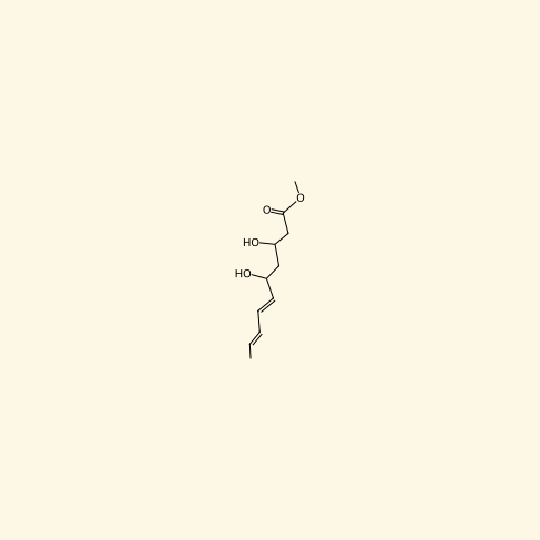 CC=CC=CC(O)CC(O)CC(=O)OC